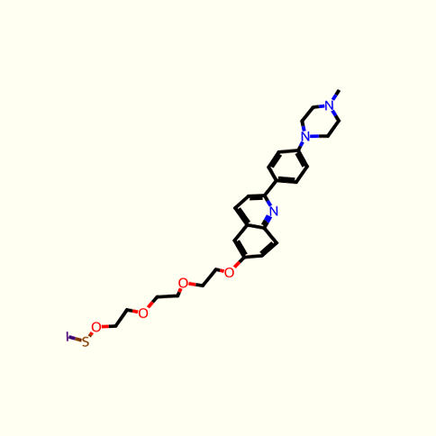 CN1CCN(c2ccc(-c3ccc4cc(OCCOCCOCCOSI)ccc4n3)cc2)CC1